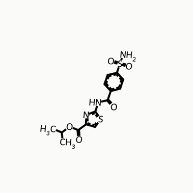 CC(C)OC(=O)c1csc(NC(=O)c2ccc(S(N)(=O)=O)cc2)n1